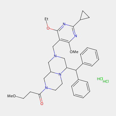 CCOc1nc(C2CC2)nc(OC)c1CN1CC2CN(C(=O)CCOC)CCN2C(C(c2ccccc2)c2ccccc2)C1.Cl.Cl